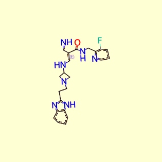 N=C/C(=C\NC1CN(CCc2nc3ccccc3[nH]2)C1)C(=O)NCc1ncccc1F